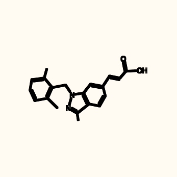 Cc1cccc(C)c1Cn1nc(C)c2ccc(C=CC(=O)O)cc21